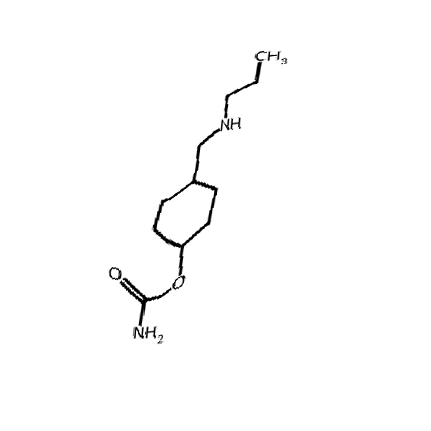 CCCNCC1CCC(OC(N)=O)CC1